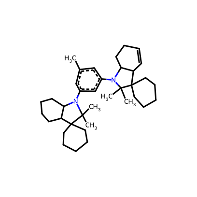 Cc1cc(N2C3CCC=CC3C3(CCCCC3)C2(C)C)cc(N2C3CCCCC3C3(CCCCC3)C2(C)C)c1